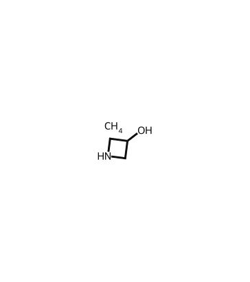 C.OC1CNC1